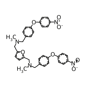 CN(Cc1ccc(Oc2ccc([N+](=O)[O-])cc2)cc1)Cc1ccc(CN(C)Cc2ccc(Oc3ccc([N+](=O)[O-])cc3)cc2)o1